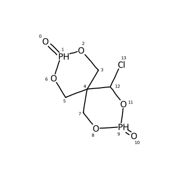 O=[PH]1OCC2(CO1)CO[PH](=O)OC2Cl